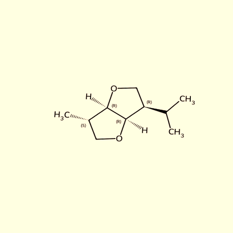 CC(C)[C@@H]1CO[C@H]2[C@@H]1OC[C@@H]2C